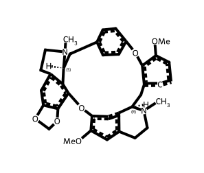 COc1cc2c3cc1Oc1c4c(cc5c1[C@H](Cc1ccc(cc1)Oc1c(cccc1OC)C[C@H]3N(C)CC2)N(C)CC5)OCO4